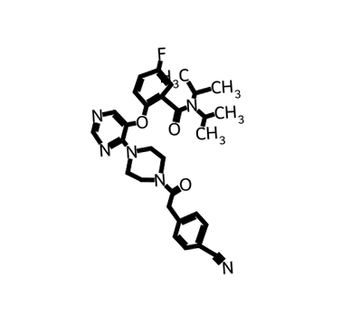 CC(C)N(C(=O)c1cc(F)ccc1Oc1cncnc1N1CCN(C(=O)Cc2ccc(C#N)cc2)CC1)C(C)C